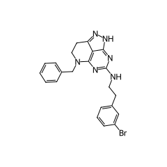 Brc1cccc(CCNc2nc3c4c(n[nH]c4n2)CCN3Cc2ccccc2)c1